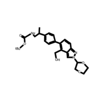 CC(CNC(=O)OC(C)(C)C)c1ccc(-c2ccc3nn(C4CCCCO4)cc3c2CO)cc1